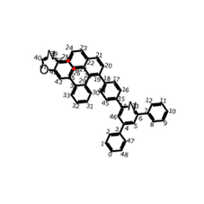 c1ccc(-c2cc(-c3ccccc3)nc(-c3ccc(-c4ccc5ccccc5c4-c4ccccc4-c4ccc5ncoc5c4)cc3)c2)cc1